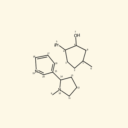 CC1CCC(C(C)C)C(O)C1.CN1CCCC1c1cccnc1